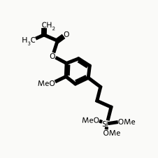 C=C(C)C(=O)Oc1ccc(CCC[Si](OC)(OC)OC)cc1OC